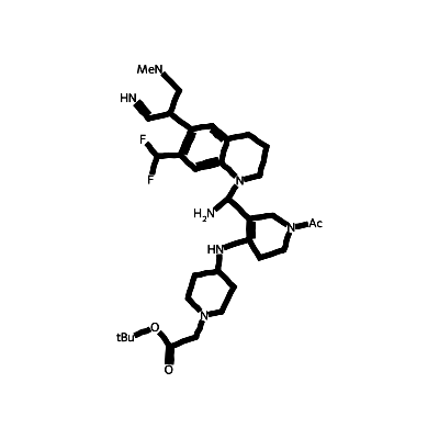 CNCC(C=N)c1cc2c(cc1C(F)F)N(C(N)C1=C(NC3CCN(CC(=O)OC(C)(C)C)CC3)CCN(C(C)=O)C1)CCC2